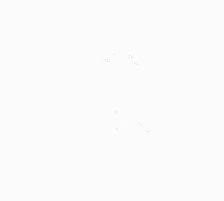 Cn1nccc1C(=O)NC(C(=O)Nc1ccc(-c2cn(C)c(=O)c3[nH]ncc23)c(F)c1)C(c1ccccc1)c1ccccc1